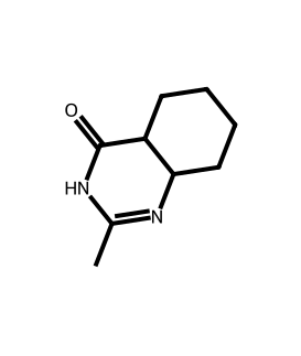 CC1=NC2CCCCC2C(=O)N1